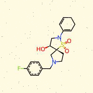 O=S1(=O)N(C2=CCCC=C2)C[C@H](O)[C@]12CCN(Cc1ccc(F)cc1)C2